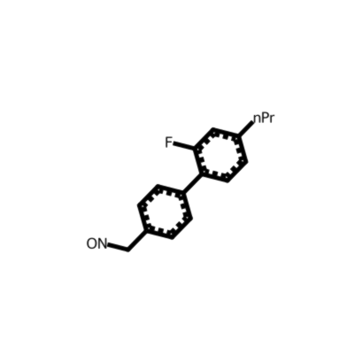 CCCc1ccc(-c2ccc(CN=O)cc2)c(F)c1